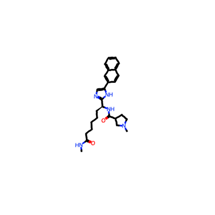 CNC(=O)CCCCC[C@H](NC(=O)C1CCN(C)C1)c1ncc(-c2ccc3ccccc3c2)[nH]1